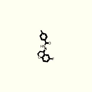 Cc1ccc(C(=O)NN=C2CCOc3ccc(F)cc32)cc1